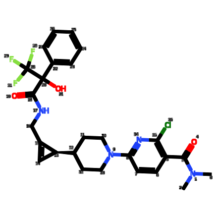 CN(C)C(=O)c1ccc(N2CCC([C@H]3C=C3CNC(=O)C(O)(c3ccccc3)C(F)(F)F)CC2)nc1Cl